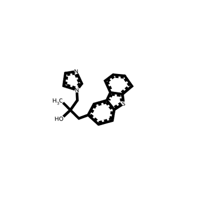 CC(O)(Cc1ccc2sc3ccccc3c2c1)Cn1ccnc1